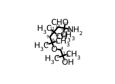 CC(C)(O)COC(C)(C)CC(C)(C)CC(C)(N)C=O